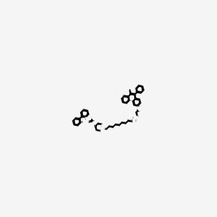 CC/C(=C(\c1ccccc1)c1ccc(OCC[N+](C)(C)CCCCCCCCCN2CCC(OC(=O)Nc3ccccc3-c3ccccc3)CC2)cc1)c1ccccc1